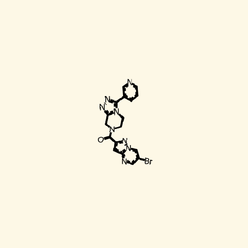 O=C(c1cc2ncc(Br)cn2n1)N1CCn2c(nnc2-c2cccnc2)C1